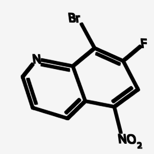 O=[N+]([O-])c1cc(F)c(Br)c2ncccc12